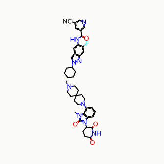 Cn1c(=O)n(C2CCC(=O)NC2=O)c2cccc(N3CCC4(CCN(C[C@H]5CC[C@H](n6cc7cc(NC(=O)c8cncc(C#N)c8)c(F)cc7n6)CC5)CC4)CC3)c21